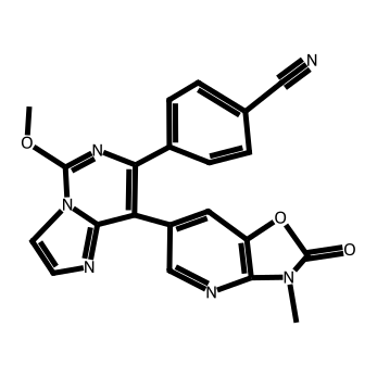 COc1nc(-c2ccc(C#N)cc2)c(-c2cnc3c(c2)oc(=O)n3C)c2nccn12